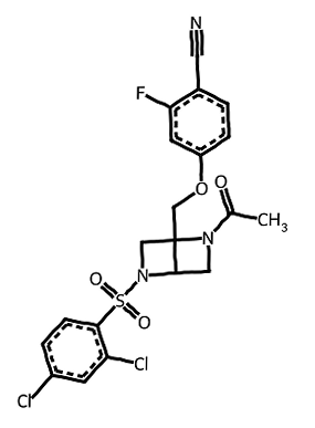 CC(=O)N1CC2N(S(=O)(=O)c3ccc(Cl)cc3Cl)CC21COc1ccc(C#N)c(F)c1